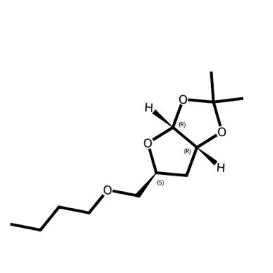 CCCCOC[C@@H]1C[C@H]2OC(C)(C)O[C@H]2O1